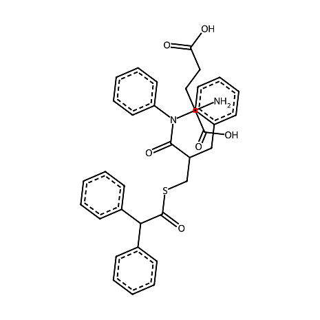 NC(CCC(=O)O)(C(=O)O)N(C(=O)C(CSC(=O)C(c1ccccc1)c1ccccc1)Cc1ccccc1)c1ccccc1